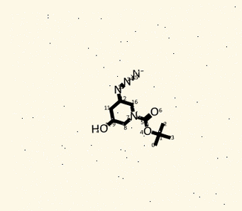 CC(C)(C)OC(=O)N1CC(O)CC(N=[N+]=[N-])C1